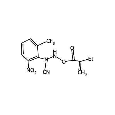 C=C(CC)C(=O)ONN(C#N)c1c([N+](=O)[O-])cccc1C(F)(F)F